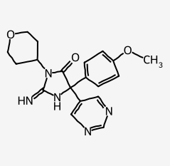 COc1ccc(C2(c3cncnc3)NC(=N)N(C3CCOCC3)C2=O)cc1